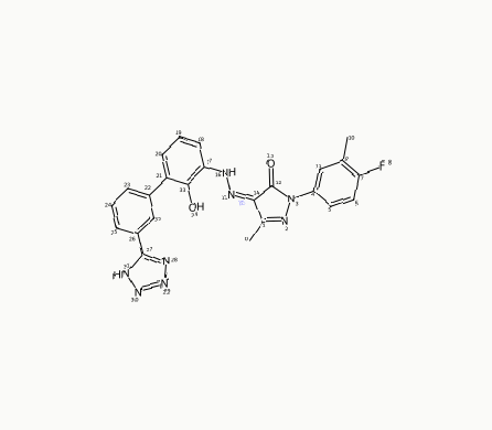 CC1=NN(c2ccc(F)c(C)c2)C(=O)/C1=N\Nc1cccc(-c2cccc(-c3nnn[nH]3)c2)c1O